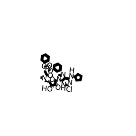 CN(C[C@H]1O[C@@H](n2cnc3c(NC4CCCC4)nc(Cl)nc32)[C@H](O)[C@@H]1O)C(=O)CP(=O)(Oc1ccccc1)Oc1ccccc1